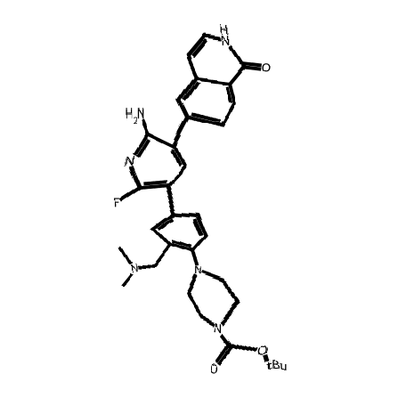 CN(C)Cc1cc(-c2cc(-c3ccc4c(=O)[nH]ccc4c3)c(N)nc2F)ccc1N1CCN(C(=O)OC(C)(C)C)CC1